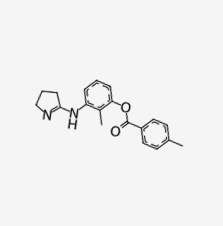 Cc1ccc(C(=O)Oc2cccc(NC3=NCCC3)c2C)cc1